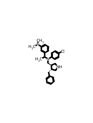 CC(c1cccc(N(C)C)c1)N(C[C@H]1CNC[C@@H]1Cc1ccccc1)c1ccc(Cl)cc1